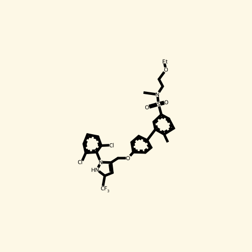 CCOCCN(C)S(=O)(=O)c1ccc(C)c(-c2ccc(OCC3=CC(C(F)(F)F)NN3c3c(Cl)cccc3Cl)cc2)c1